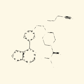 CN(C)C(=O)N1CCN([C@@H](CCCC#N)Cn2cc(-c3ncnc4[nH]ccc34)cn2)CC1